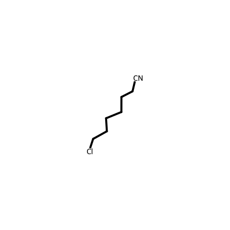 N#CCCCCCCCl